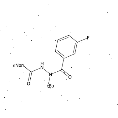 CCCCCCCCCC(=O)NN(C(=O)c1cccc(F)c1)C(C)(C)C